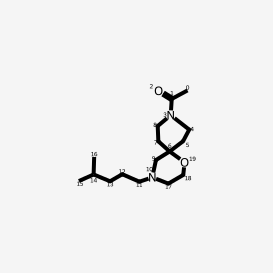 CC(=O)N1CCC2(CC1)CN(CCCC(C)C)CCO2